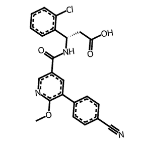 COc1ncc(C(=O)N[C@@H](CC(=O)O)c2ccccc2Cl)cc1-c1ccc(C#N)cc1